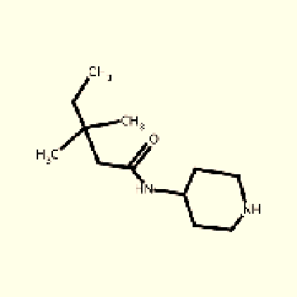 CCC(C)(C)CC(=O)NC1CCNCC1